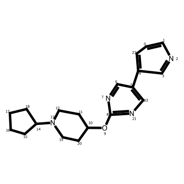 c1cncc(-c2cnc(OC3CCN(C4CCCC4)CC3)nc2)c1